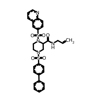 C=CCNC(=O)C1CN(S(=O)(=O)c2ccc(-c3ccccc3)cc2)CCN1S(=O)(=O)c1ccc2ncccc2c1